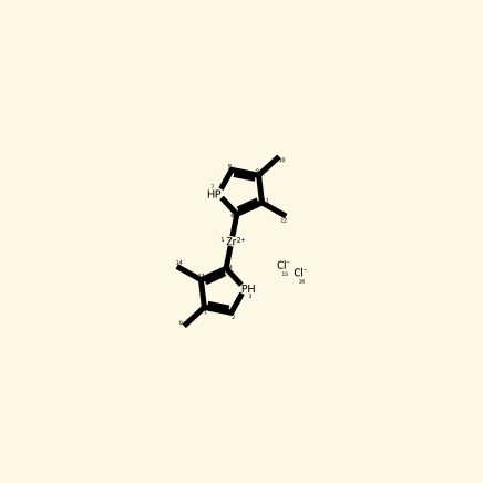 Cc1c[pH][c]([Zr+2][c]2[pH]cc(C)c2C)c1C.[Cl-].[Cl-]